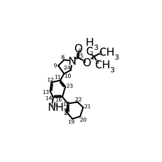 CC(C)(C)OC(=O)N1CCC(c2ccc(N)c(C3=CCCCC3)c2)C1